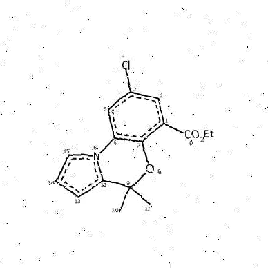 CCOC(=O)c1cc(Cl)cc2c1OC(C)(C)c1cccn1-2